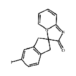 O=C1N=C2C=CC=CN2C12Cc1ccc(I)cc1C2